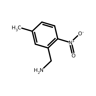 Cc1ccc([N+](=O)[O-])c(CN)c1